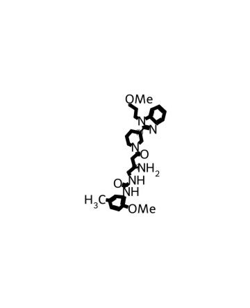 COCCCn1c([C@@H]2CCCN(C(=O)C[C@@H](N)CNC(=O)Nc3cc(C)ccc3OC)C2)nc2ccccc21